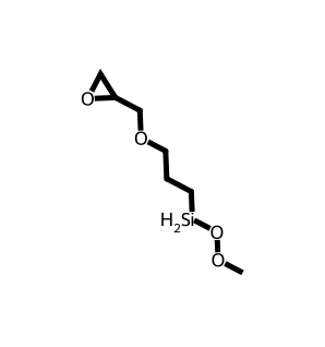 COO[SiH2]CCCOCC1CO1